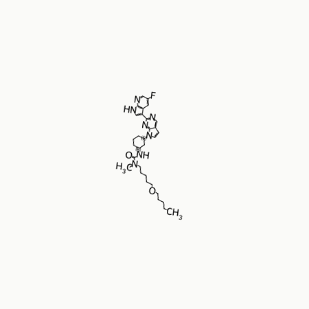 CCCCCOCCCCCN(C)C(=O)N[C@@H]1CCC[C@H](n2ccc3cnc(-c4c[nH]c5ncc(F)cc45)nc32)C1